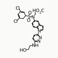 O=C(O)CN(c1ccc2c(ccn2-c2ccc(NCCO)nn2)c1)S(=O)(=O)C1C=C(Cl)C=C(Cl)C1